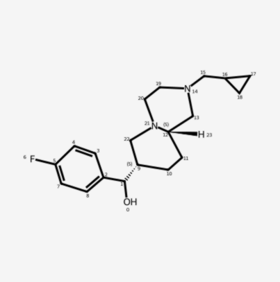 OC(c1ccc(F)cc1)[C@H]1CC[C@H]2CN(CC3CC3)CCN2C1